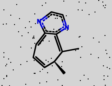 CC1=c2nccnc2=CC=C[C@@H]1C